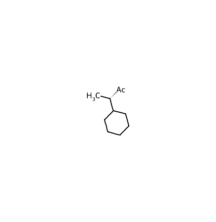 CC(=O)[C@@H](C)C1CCCCC1